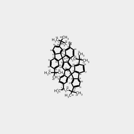 CCc1ccc2c(c1)C1(c3cc(C(C)(C)C)ccc3-c3ccc(C(C)(C)C)cc31)c1cc3c(cc1-2)C1(c2cc(Br)ccc2-3)c2cc(C(C)(C)C)ccc2-c2ccc(C(C)(C)C)cc21